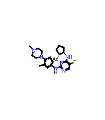 CC(=O)[C@@H]1CCC[C@H]1Nc1nc(Nc2ccc(N3CCN(C)CC3)c(C)c2)ncc1F